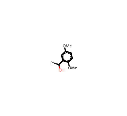 COc1ccc(OC)c(C(O)C(C)C)c1